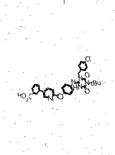 CC(C)(C)n1c(=O)[nH]/c(=N\c2ccc(Oc3ccc(-c4cccc(C(=O)O)c4)cn3)cc2)n(Cc2ccc(Cl)cc2)c1=O